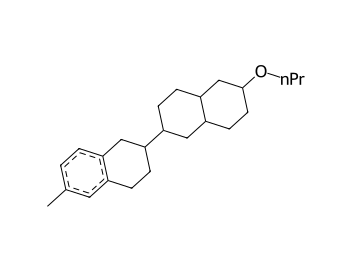 CCCOC1CCC2CC(C3CCc4cc(C)ccc4C3)CCC2C1